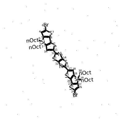 CCCCCCCC[Si]1(CCCCCCCC)c2cc(Br)sc2-c2sc(-c3nc4sc(-c5cc6c(s5)-c5sc(Br)cc5[Si]6(CCCCCCCC)CCCCCCCC)nc4s3)cc21